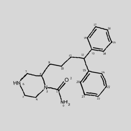 NC(=O)N1CCNCC1CCCC(c1ccccc1)c1ccccc1